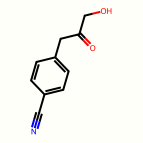 N#Cc1ccc(CC(=O)CO)cc1